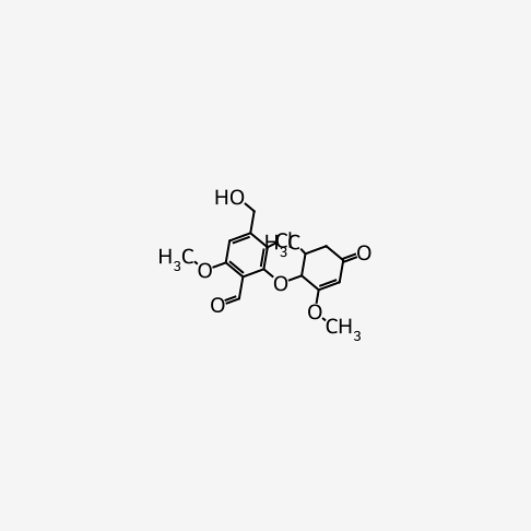 COC1=CC(=O)CC(C)C1Oc1c(Cl)c(CO)cc(OC)c1C=O